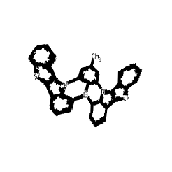 Cc1cc2c3c(c1)-n1c4c(cccc4c4sc5ccccc5c41)B3C1CC=Cc3c1n-2c1c3oc2ccccc21